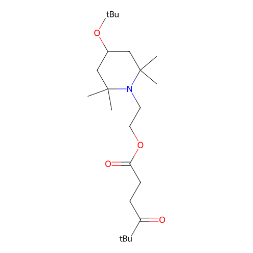 CC(C)(C)OC1CC(C)(C)N(CCOC(=O)CCC(=O)C(C)(C)C)C(C)(C)C1